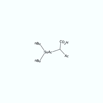 CC(=O)C(C(C)=O)C(=O)O.CCC[CH2][Sn][CH2]CCC